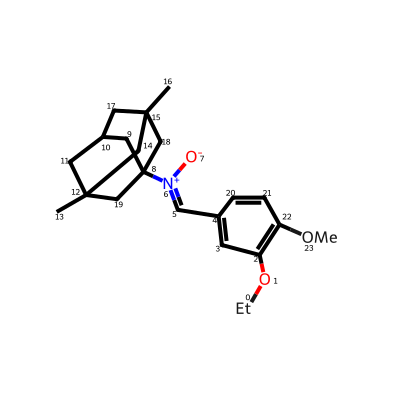 CCOc1cc(C=[N+]([O-])C23CC4CC(C)(CC(C)(C4)C2)C3)ccc1OC